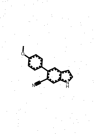 COc1ccc(-c2cc3cc[nH]c3cc2C#N)cc1